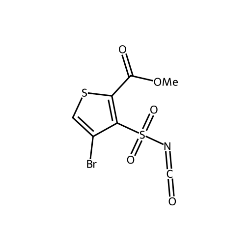 COC(=O)c1scc(Br)c1S(=O)(=O)N=C=O